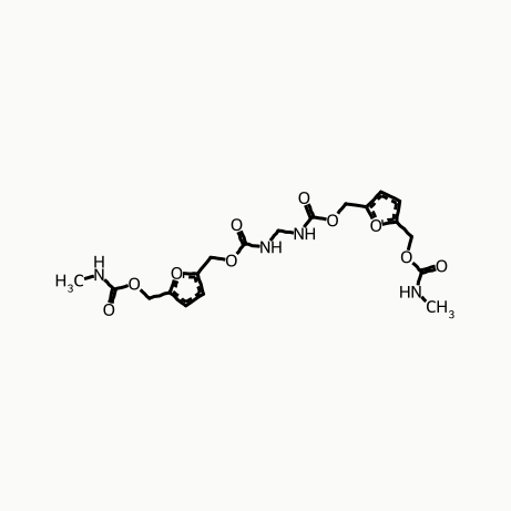 CNC(=O)OCc1ccc(COC(=O)NCNC(=O)OCc2ccc(COC(=O)NC)o2)o1